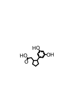 O=C(O)CC1CCCC1c1cc(O)cc(O)c1